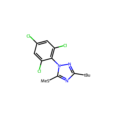 CSc1nc(C(C)(C)C)nn1-c1c(Cl)cc(Cl)cc1Cl